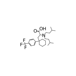 CC(C)CCN(CCC(C)C)C(CC1(c2ccc(C(F)(F)F)cc2)CCCCC1)C(=O)O